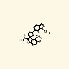 Cc1c(F)cccc1C1(C(=O)NO)CCC(c2ccc3cnn(C)c3c2F)C1